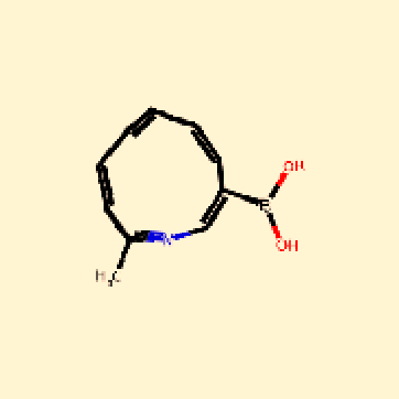 Cc1ccccccc(B(O)O)cn1